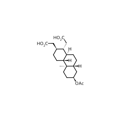 CC(=O)O[C@H]1CC[C@]2(C)[C@H](CC[C@@H]3[C@@H](CC(=O)O)[C@H](CC(=O)O)CC[C@H]32)C1